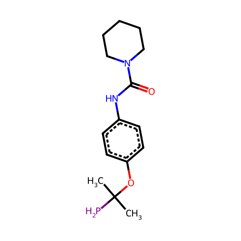 CC(C)(P)Oc1ccc(NC(=O)N2CCCCC2)cc1